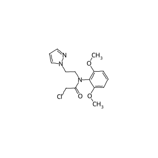 COc1cccc(OC)c1N(CCn1cccn1)C(=O)CCl